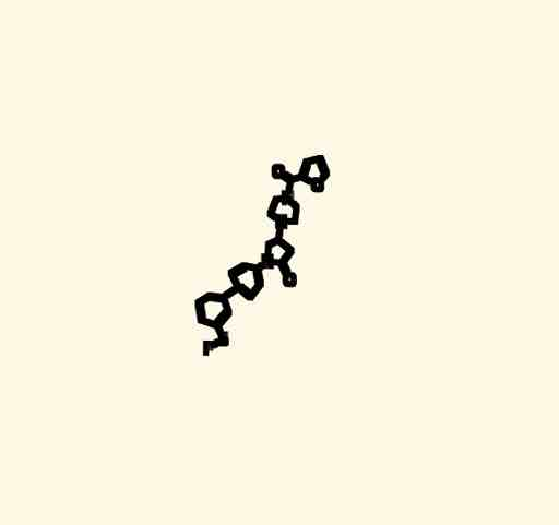 O=C(c1ccco1)N1CCN(C2CC(=O)N(c3ccc(-c4cccc(SF)c4)cc3)C2)CC1